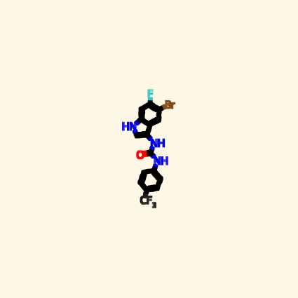 O=C(Nc1ccc(C(F)(F)F)cc1)Nc1c[nH]c2cc(F)c(Br)cc12